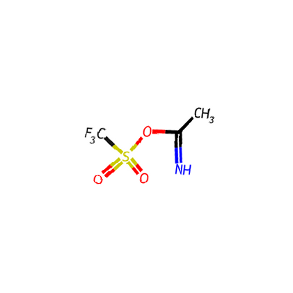 CC(=N)OS(=O)(=O)C(F)(F)F